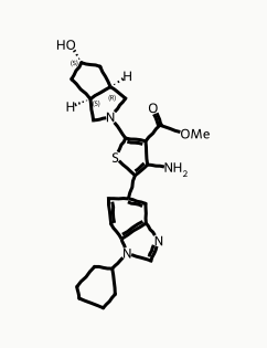 COC(=O)c1c(N2C[C@H]3C[C@H](O)C[C@H]3C2)sc(-c2ccc3c(c2)ncn3C2CCCCC2)c1N